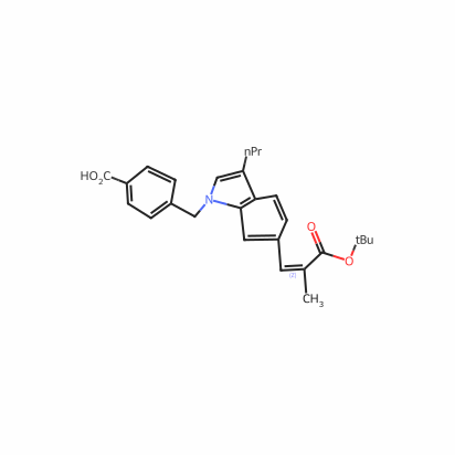 CCCc1cn(Cc2ccc(C(=O)O)cc2)c2cc(/C=C(/C)C(=O)OC(C)(C)C)ccc12